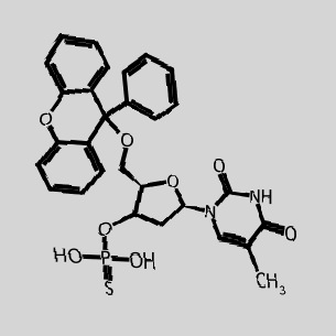 Cc1cn([C@H]2CC(OP(O)(O)=S)[C@@H](COC3(c4ccccc4)c4ccccc4Oc4ccccc43)O2)c(=O)[nH]c1=O